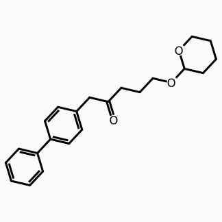 O=C(CCCOC1CCCCO1)Cc1ccc(-c2ccccc2)cc1